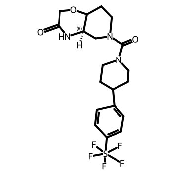 O=C1COC2CCN(C(=O)N3CCC(c4ccc(S(F)(F)(F)(F)F)cc4)CC3)C[C@H]2N1